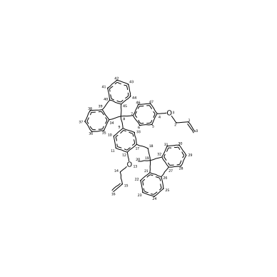 C=CCOc1ccc(C2(c3ccc(OCC=C)c(CC4(C)c5ccccc5-c5ccccc54)c3)c3ccccc3-c3ccccc32)cc1